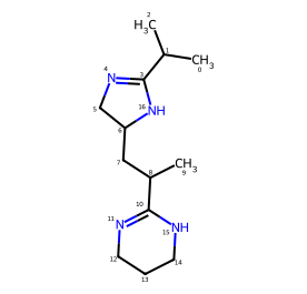 CC(C)C1=NCC(CC(C)C2=NCCCN2)N1